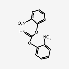 N=C(Oc1ccccc1[N+](=O)[O-])Oc1ccccc1[N+](=O)[O-]